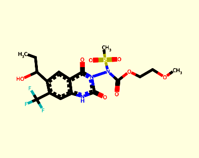 CCC(O)c1cc2c(=O)n(N(C(=O)OCCOC)S(C)(=O)=O)c(=O)[nH]c2cc1C(F)(F)F